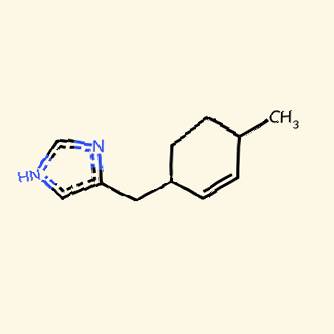 CC1C=CC(Cc2c[nH]cn2)CC1